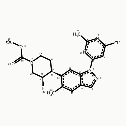 Cc1nc(Cl)cc(-n2ncc3cc(C)c([C@@H]4CCN(C(=O)OC(C)(C)C)C[C@@H]4F)cc32)n1